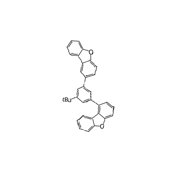 CC(C)(C)c1cc(-c2ccc3oc4ccccc4c3c2)cc(-c2cccc3oc4ccccc4c23)c1